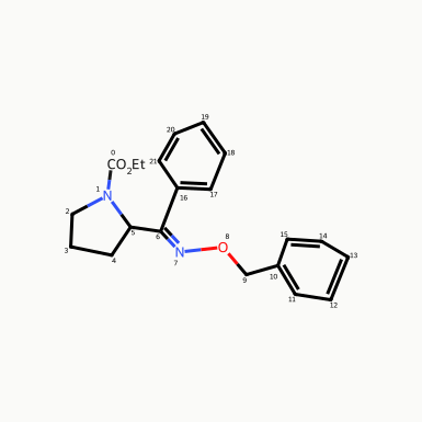 CCOC(=O)N1CCCC1C(=NOCc1ccccc1)c1ccccc1